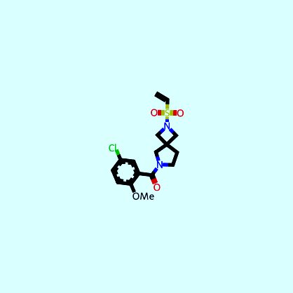 C=CS(=O)(=O)N1CC2(CCN(C(=O)c3cc(Cl)ccc3OC)C2)C1